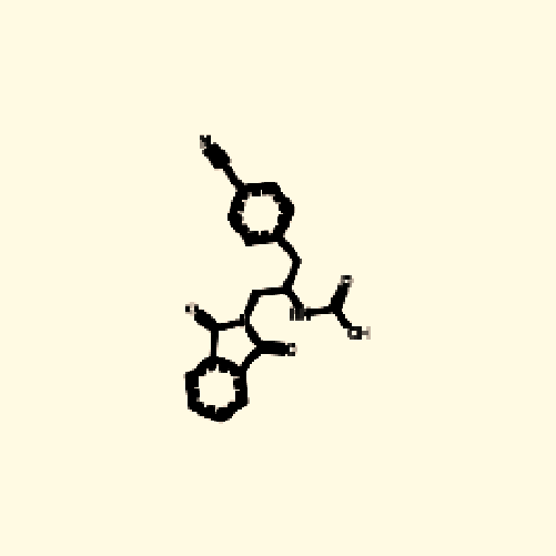 N#Cc1ccc(CC(CN2C(=O)c3ccccc3C2=O)NC(=O)O)cc1